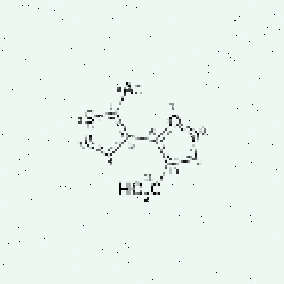 CC(=O)c1sccc1-c1occc1C(=O)O